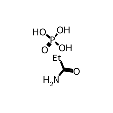 CCC(N)=O.O=P(O)(O)O